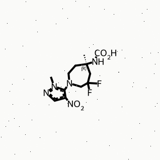 Cn1ncc([N+](=O)[O-])c1N1CC[C@@](C)(NC(=O)O)CC(F)(F)C1